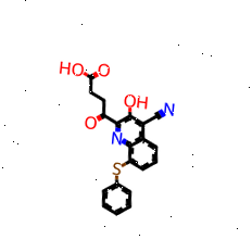 N#Cc1c(O)c(C(=O)CCC(=O)O)nc2c(Sc3ccccc3)cccc12